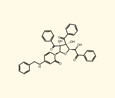 O=C(c1ccccc1)C(O)[C@H]1O[C@@H](n2ccc(NCc3ccccc3)cc2=O)[C@@](O)(C(=O)c2ccccc2)[C@@]1(O)C(=O)c1ccccc1